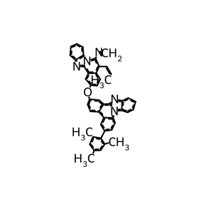 C=Nc1c(/C=C\C)c2ccc(Oc3ccc4c5cc(-c6c(C)cc(C)cc6C)ccc5n5c6ccccc6nc5c4c3)cc2c2nc3ccccc3n12